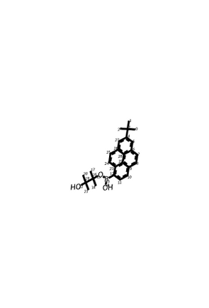 CC(C)(C)c1cc2ccc3ccc(B(O)OC(C)(C)C(C)(C)O)c4ccc(c1)c2c34